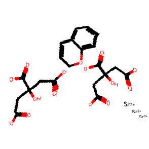 C1=Cc2ccccc2OC1.O=C([O-])CC(O)(CC(=O)[O-])C(=O)[O-].O=C([O-])CC(O)(CC(=O)[O-])C(=O)[O-].[Sr+2].[Sr+2].[Sr+2]